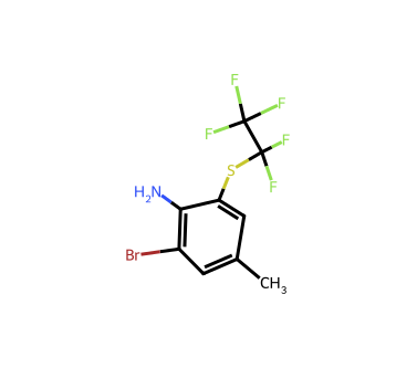 Cc1cc(Br)c(N)c(SC(F)(F)C(F)(F)F)c1